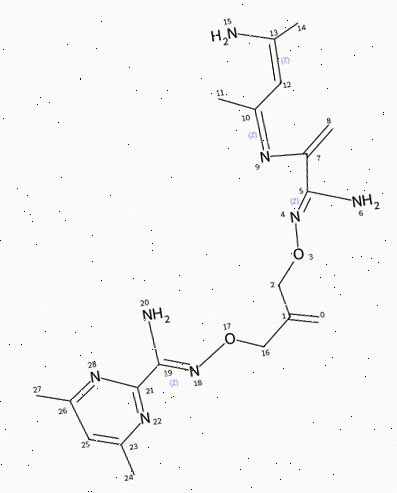 C=C(CO/N=C(\N)C(=C)/N=C(C)\C=C(\C)N)CO/N=C(\N)c1nc(C)cc(C)n1